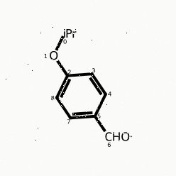 CC(C)Oc1ccc([C]=O)cc1